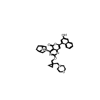 O=c1oc(-c2cc(O)cc3ccccc23)cc2nc(OCC3(CN4CCOCC4)CC3)nc(N3CC4CCC(C3)N4)c12